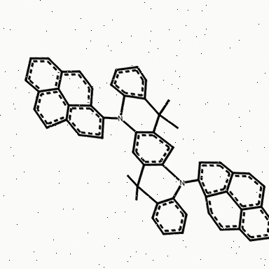 CC1(C)c2ccccc2N(c2ccc3ccc4cccc5ccc2c3c45)c2cc3c(cc21)N(c1ccc2ccc4cccc5ccc1c2c45)c1ccccc1C3(C)C